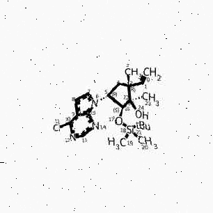 C=C[C@@]1(C)C[C@@H](n2ccc3c(Cl)ncnc32)[C@H](O[Si](C)(C)C(C)(C)C)[C@]1(C)O